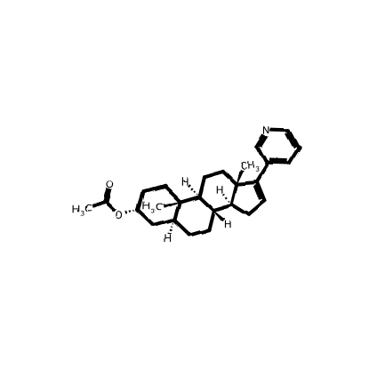 CC(=O)O[C@@H]1CC[C@@]2(C)[C@@H](CC[C@@H]3[C@@H]2CC[C@]2(C)C(c4cccnc4)=CC[C@@H]32)C1